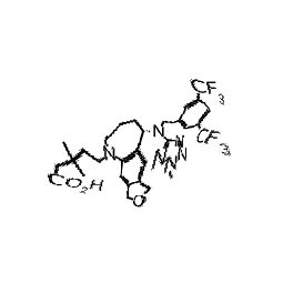 Cn1nnc(N(Cc2cc(C(F)(F)F)cc(C(F)(F)F)c2)[C@H]2CCCN(CCC(C)(C)CC(=O)O)c3cc4c(cc32)COC4)n1